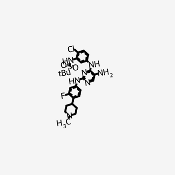 CN1CCC(c2ccc(Nc3ncc(N)c(Nc4ccc(Cl)c(NS(=O)(=O)C(C)(C)C)c4)n3)cc2F)CC1